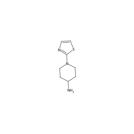 NC1CCN(c2nccs2)CC1